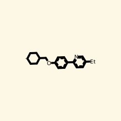 CCc1ccc(-c2ccc(OCC3CC[CH]CC3)cc2)nc1